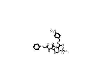 O=C(COc1ccccc1)NC1C(=O)N2C1SCN(S(=O)(=O)C(F)(F)F)C2C(=O)OCc1ccc([N+](=O)[O-])cc1